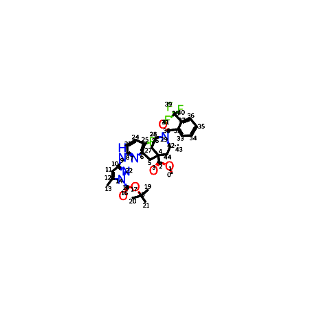 COC(=O)C1(Cc2nc(Nc3cc(C)n(C(=O)OC(C)(C)C)n3)ccc2F)CCN(C(=O)c2ccccc2C(F)(F)F)[C@H](C)C1